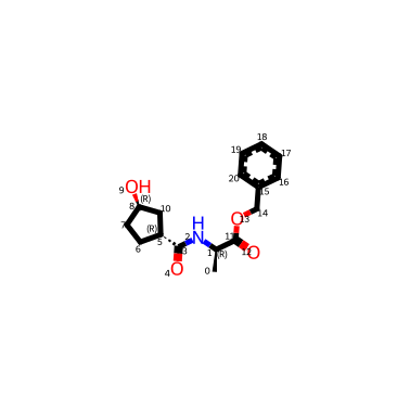 C[C@@H](NC(=O)[C@@H]1CC[C@@H](O)C1)C(=O)OCc1ccccc1